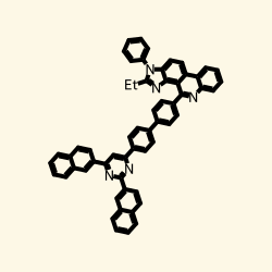 CCc1nc2c3c(-c4ccc(-c5ccc(-c6cc(-c7ccc8ccccc8c7)nc(-c7ccc8ccccc8c7)n6)cc5)cc4)nc4ccccc4c3ccc2n1-c1ccccc1